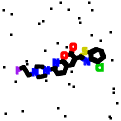 O=c1oc2nc(N3CCN(CCI)CC3)ccc2cc1-c1nc2c(Cl)cccc2s1